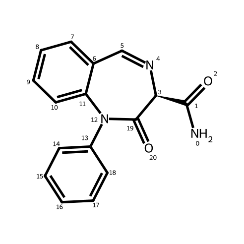 NC(=O)[C@@H]1N=Cc2ccccc2N(c2ccccc2)C1=O